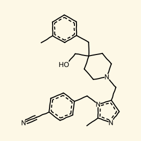 Cc1cccc(CC2(CO)CCN(Cc3cnc(C)n3Cc3ccc(C#N)cc3)CC2)c1